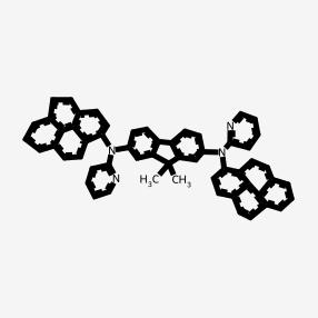 CC1(C)c2cc(N(c3ccccn3)c3ccc4ccc5cccc6ccc3c4c56)ccc2-c2ccc(N(c3ccccn3)c3ccc4ccc5cccc6ccc3c4c56)cc21